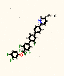 CCCCCc1ccc(-c2ccc(-c3ccc(-c4cc(F)c(C(F)(F)Oc5ccc(F)c(F)c5)c(F)c4)c(F)c3)cc2)nc1